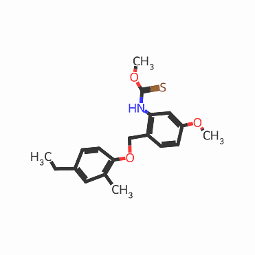 CCc1ccc(OCc2ccc(OC)cc2NC(=S)OC)c(C)c1